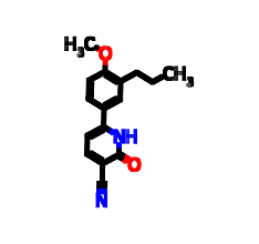 CCCc1cc(-c2ccc(C#N)c(=O)[nH]2)ccc1OC